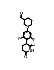 O=CC1CCCN(c2cc(F)c(C3CCC(=O)NC3=O)c(F)c2)C1